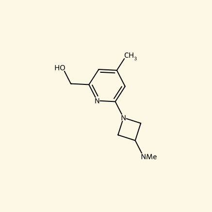 CNC1CN(c2cc(C)cc(CO)n2)C1